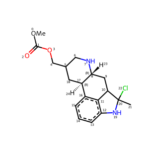 COC(=O)OCC1CN[C@@H]2CC3c4c(cccc4[C@H]2C1)NC3(C)Cl